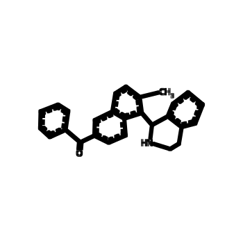 Cc1ccc2cc(C(=O)c3ccccc3)ccc2c1C1NCCc2ccccc21